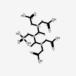 CC(N(CC(=O)O)CC(=O)O)N(CP(=O)(O)O)C(C)N(CC(=O)O)CC(=O)O